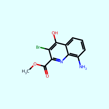 COC(=O)c1nc2c(N)cccc2c(O)c1Br